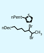 CCCCCCCCCCCCCCC(Br)C(C)Br.CCCCCc1cccs1